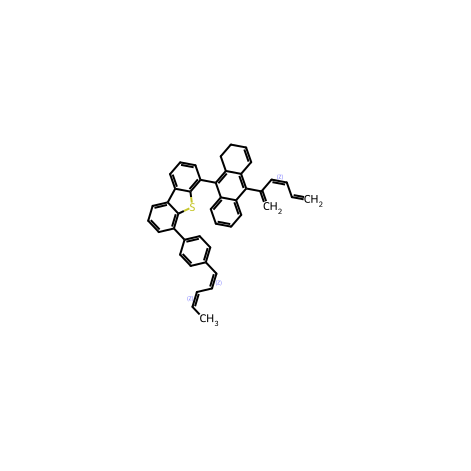 C=C/C=C\C(=C)c1c2c(c(-c3cccc4c3sc3c(-c5ccc(/C=C\C=C/C)cc5)cccc34)c3ccccc13)CCC=C2